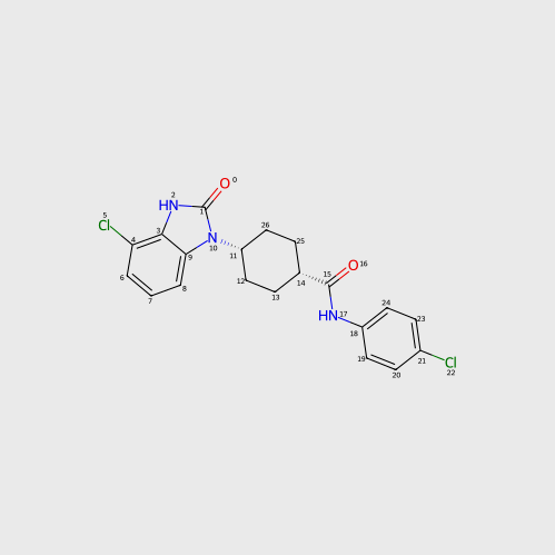 O=c1[nH]c2c(Cl)cccc2n1[C@H]1CC[C@@H](C(=O)Nc2ccc(Cl)cc2)CC1